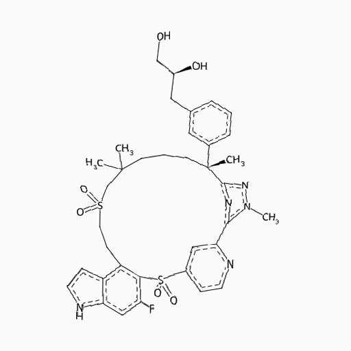 Cn1nc2nc1-c1cc(ccn1)S(=O)(=O)c1c(F)cc3[nH]ccc3c1CCS(=O)(=O)CC(C)(C)CCC[C@]2(C)c1cccc(C[C@H](O)CO)c1